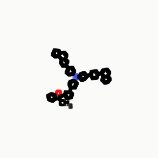 Cc1c(-c2cccc(-c3ccc(N(c4ccc(-c5ccc(-c6cccc7ccccc67)cc5)cc4)c4ccc(-c5ccc6c(ccc7ccccc76)c5)cc4)cc3)c2)oc2ccccc12